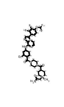 CCc1cc(Nc2nccn3c(-c4ccc(OC(F)F)c(F)c4F)cnc23)ccc1C(=O)N1CCN(C(=O)C2CC[N+](C)(CC(N)=O)CC2)CC1